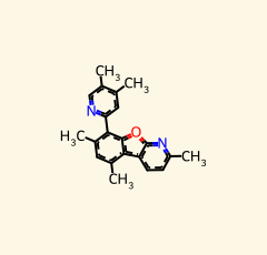 Cc1ccc2c(n1)oc1c(-c3cc(C)c(C)cn3)c(C)cc(C)c12